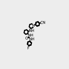 N#Cc1ccc(N2CCC[C@H](N[C@@H]3CCCC[C@H]3NC(=O)Nc3ccc(F)cc3)C2)cc1